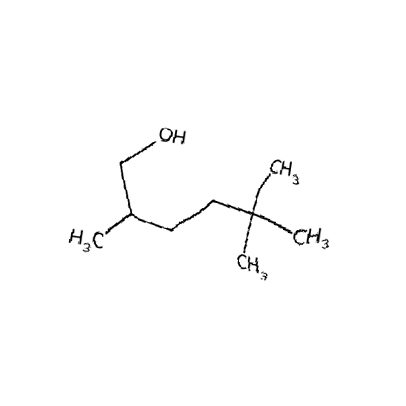 CC(CO)CCC(C)(C)C